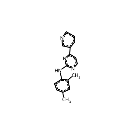 Cc1ccc(Nc2nccc(-c3cccnc3)n2)c(C)c1